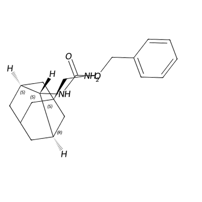 NC[C@]12CC3C[C@H](C1)[C@@H](NC(=O)OCc1ccccc1)[C@@H](C3)C2